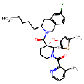 CCC[C@H]1N(C(=O)c2ncccc2C(F)(F)F)CCC[C@@]1(Oc1csc(C(F)(F)F)c1)C(=O)N1Cc2ccc(F)cc2C[C@@H]1CCCCC(=O)O